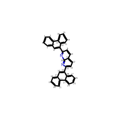 c1ccc2c(c1)cc(-c1ccc3ccc(-c4cc5ccccc5c5ccccc45)nc3n1)c1ccccc12